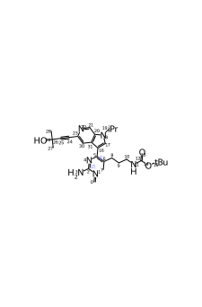 C=N/C(N)=N\C(=C(/C)CCCNC(=O)OC(C)(C)C)c1cn(C(C)C)c2cnc(C#CC(C)(C)O)cc12